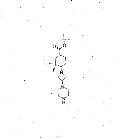 CC(C)(C)OC(=O)N1CCC(N2CC(N3CCNCC3)C2)C(F)(F)C1